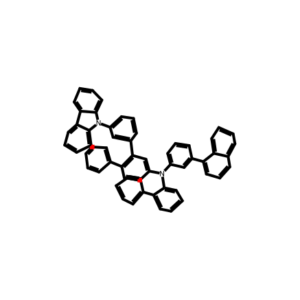 c1ccc(-c2ccc(N(c3cccc(-c4cccc5ccccc45)c3)c3ccccc3-c3ccccc3)cc2-c2cccc(-n3c4ccccc4c4ccccc43)c2)cc1